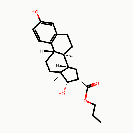 CCCOC(=O)[C@H]1C[C@H]2[C@@H]3CCc4cc(O)ccc4[C@H]3CC[C@]2(C)[C@H]1O